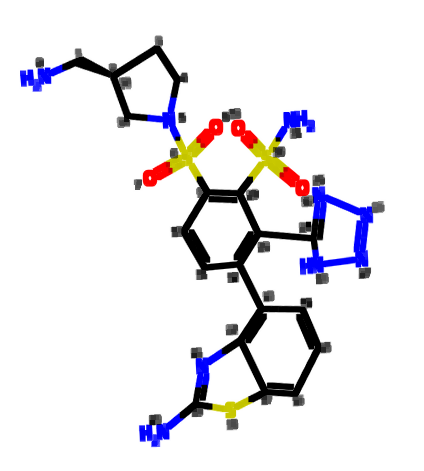 NC[C@H]1CCN(S(=O)(=O)c2ccc(-c3cccc4sc(N)nc34)c(-c3nnn[nH]3)c2S(N)(=O)=O)C1